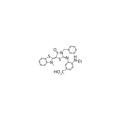 CCNc1ccc(C(=O)O)cc1N=C1SC(=C2Sc3ccccc3N2C)C(=O)N1Cc1ccccc1